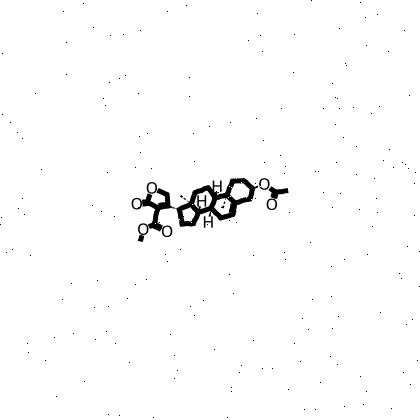 COC(=O)C1=C([C@H]2CC[C@@H]3[C@@H]4CC=C5C[C@@H](OC(C)=O)CC[C@]5(C)[C@H]4CC[C@]23C)COC1=O